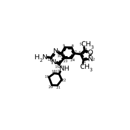 Cc1noc(C)c1-c1ccc2nc(N)nc(NC3CCCCC3)c2c1